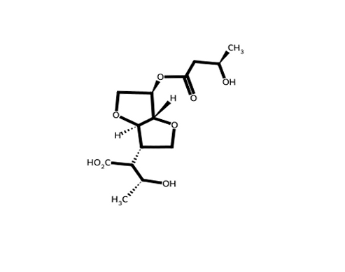 C[C@@H](O)CC(=O)O[C@@H]1CO[C@H]2[C@H]1OC[C@@H]2C(C(=O)O)[C@@H](C)O